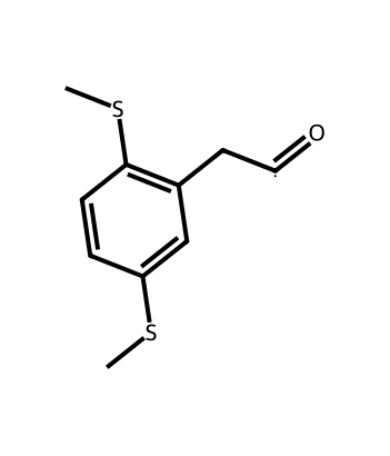 CSc1ccc(SC)c(C[C]=O)c1